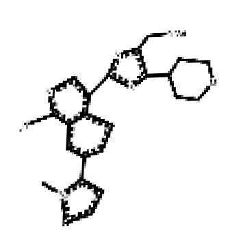 CNCc1nc(-c2cnc(N)c3cc(-c4ccnn4C)ccc23)sc1C1CCOCC1